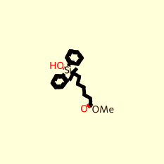 COC(=O)CCCCCC(C)(C)[Si](O)(c1ccccc1)c1ccccc1